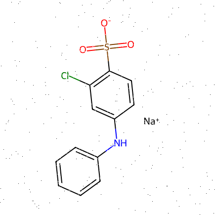 O=S(=O)([O-])c1ccc(Nc2ccccc2)cc1Cl.[Na+]